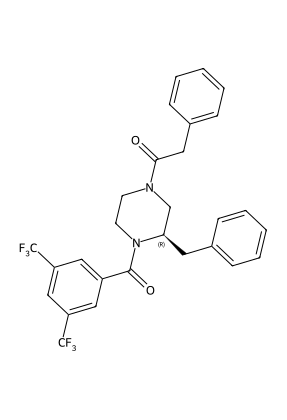 O=C(Cc1ccccc1)N1CCN(C(=O)c2cc(C(F)(F)F)cc(C(F)(F)F)c2)[C@H](Cc2ccccc2)C1